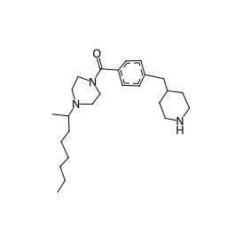 CCCCCCC(C)N1CCN(C(=O)c2ccc(CC3CCNCC3)cc2)CC1